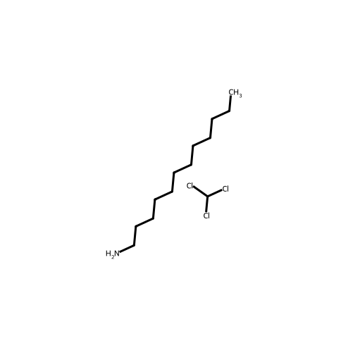 CCCCCCCCCCCCN.ClC(Cl)Cl